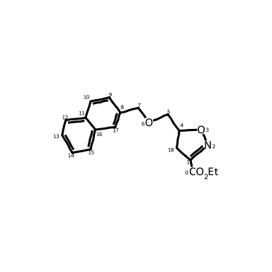 CCOC(=O)C1=NOC(COCc2ccc3ccccc3c2)C1